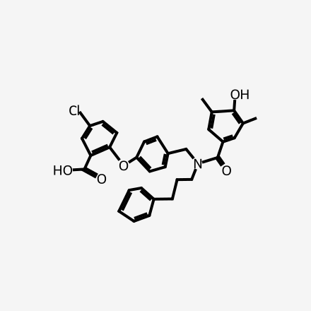 Cc1cc(C(=O)N(CCCc2ccccc2)Cc2ccc(Oc3ccc(Cl)cc3C(=O)O)cc2)cc(C)c1O